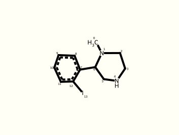 CN1CCNCC1c1ccccc1I